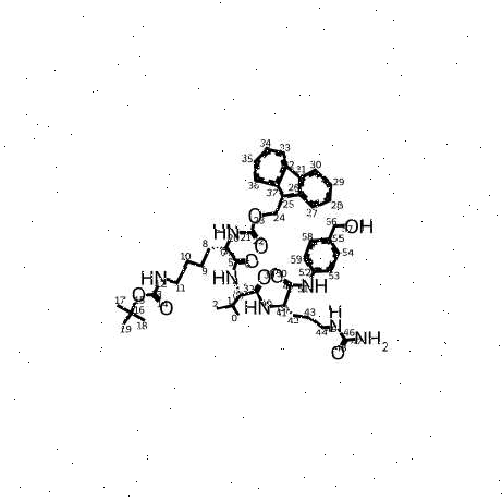 CC(C)[C@H](NC(=O)[C@H](CCCCNC(=O)OC(C)(C)C)NC(=O)OCC1c2ccccc2-c2ccccc21)C(=O)N[C@@H](CCCNC(N)=O)C(=O)Nc1ccc(CO)cc1